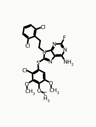 COc1cc(Sc2nc3c(N)nc(F)nc3n2CCc2c(Cl)cccc2Cl)c(Cl)c(OC)c1OC